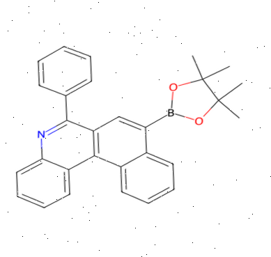 CC1(C)OB(c2cc3c(-c4ccccc4)nc4ccccc4c3c3ccccc23)OC1(C)C